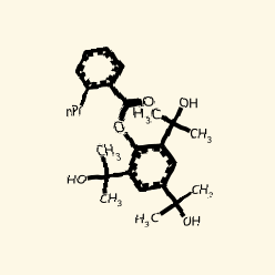 CCCc1ccccc1C(=O)Oc1c(C(C)(C)O)cc(C(C)(C)O)cc1C(C)(C)O